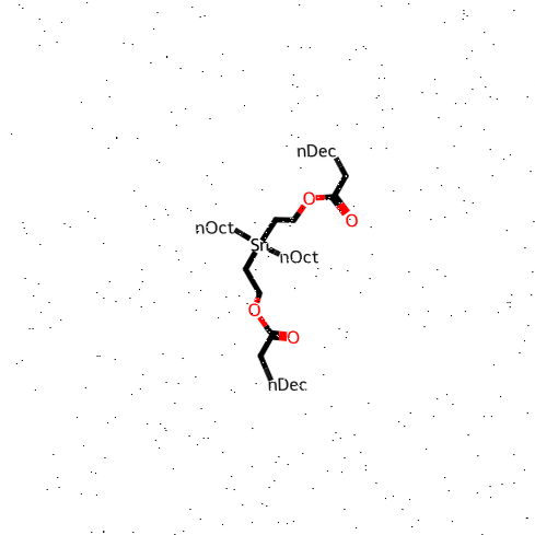 CCCCCCCCCCCC(=O)OC[CH2][Sn]([CH2]CCCCCCC)([CH2]CCCCCCC)[CH2]COC(=O)CCCCCCCCCCC